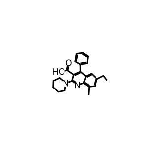 CCc1cc(C)c2nc(N3CCCCC3)c(C(=O)O)c(-c3ccccc3)c2c1